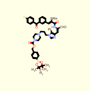 CN/C(=C\c1cccc(C(=O)c2ccc(F)cc2)c1)C(=O)N/C(C=O)=C\c1ncn(CCCN2CCN(C(=O)OCc3ccc(B4OC(C)(C)C(C)(C)O4)cc3)CC2)c1C(C)C